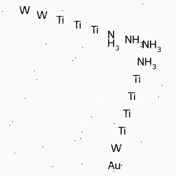 N.N.N.N.[Au].[Ti].[Ti].[Ti].[Ti].[Ti].[Ti].[Ti].[W].[W].[W]